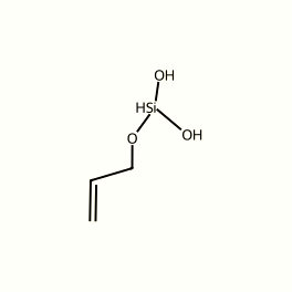 C=CCO[SiH](O)O